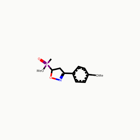 COc1ccc(C2=NOC(P(C)(=O)OC)C2)cc1